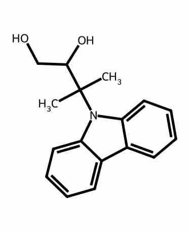 CC(C)(C(O)CO)n1c2ccccc2c2ccccc21